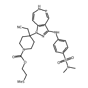 CSCCOC(=O)N1CCC(CC#N)(n2nc(Nc3ccc(S(=O)(=O)N(C)C)cc3)c3c2C=CNP=C3)CC1